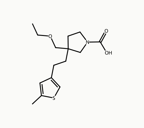 CCOCC1(CCc2csc(C)c2)CCN(C(=O)O)C1